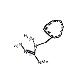 CN/C(=N/N)N(N)Cc1ccccc1